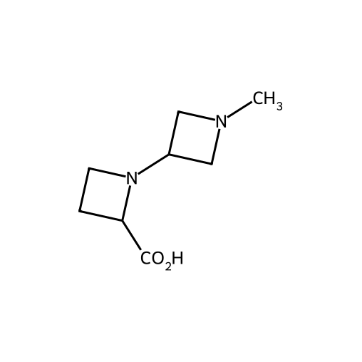 CN1CC(N2CCC2C(=O)O)C1